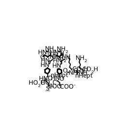 CCCCCCCC(=O)N[C@@H](CCCCN)C(=O)O.CCCCCCCC(=O)N[C@@H](CCCCN)C(=O)O.Nc1nc2c(c(=O)[nH]1)NC(CNc1ccc(C(=O)N[C@@H](CCC(=O)[O-])C(=O)O)cc1)CN2.Nc1nc2c(c(=O)[nH]1)NC(CNc1ccc(C(=O)N[C@@H](CCC(=O)[O-])C(=O)O)cc1)CN2.[S+2]